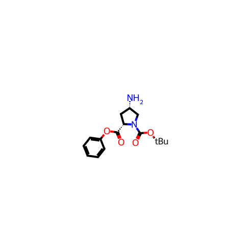 CC(C)(C)OC(=O)N1C[C@@H](N)C[C@H]1C(=O)Oc1ccccc1